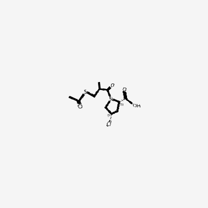 CC(=O)SCC(C)C(=O)N1C[C@@H](Cl)C[C@H]1C(=O)O